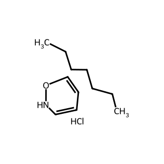 C1=CNOC=C1.CCCCCCC.Cl